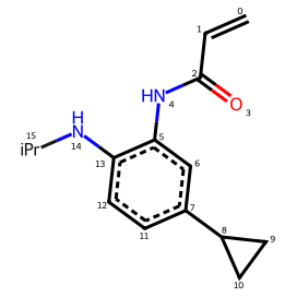 C=CC(=O)Nc1cc(C2CC2)ccc1NC(C)C